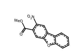 COC(=O)c1cc2oc3ccccc3c2cc1[N+](=O)[O-]